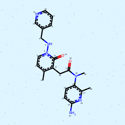 Cc1ccn(NCc2cccnc2)c(=O)c1CC(=O)N(C)c1ccc(N)nc1C